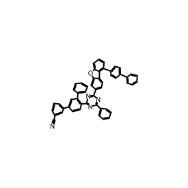 N#Cc1cccc(-c2ccc(-c3nc(-c4ccccc4)nc(-c4ccc5c(c4)oc4cccc(-c6ccc(-c7ccccc7)cc6)c45)n3)c(-c3ccccc3)c2)c1